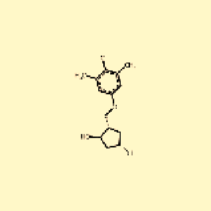 Cc1cc(OC[C@@H]2C[C@H](Cl)C[C@H]2O)cc(C)c1Cl